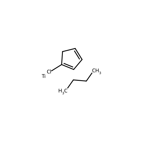 CCCC.ClC1=CC=CC1.[Ti]